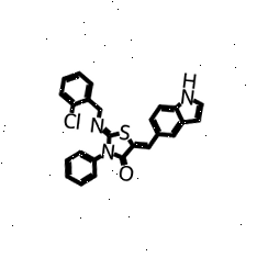 O=C1/C(=C/c2ccc3[nH]ccc3c2)S/C(=N\Cc2ccccc2Cl)N1c1ccccc1